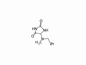 CC(C)CN(C)C1NC(=O)NC1=O